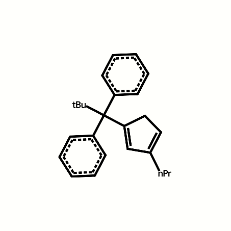 CCCC1=CCC(C(c2ccccc2)(c2ccccc2)C(C)(C)C)=C1